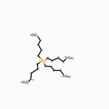 CCCCCCCCCCCCCC[PH](CCCCCCCCCCCCCC)(CCCCCCCCCCCCCC)CCCCCCCCCCCCCC